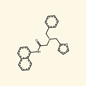 O=C(CN(Cc1ccccc1)Cc1ccco1)Nc1cccc2ccccc12